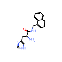 NC(Cc1c[nH]cn1)C(=O)NCc1cccc2ccccc12